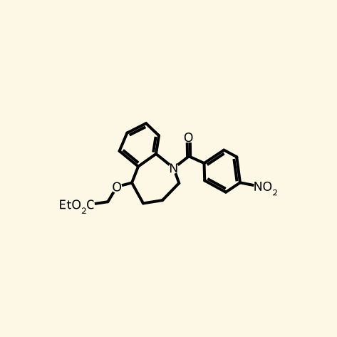 CCOC(=O)COC1CCCN(C(=O)c2ccc([N+](=O)[O-])cc2)c2ccccc21